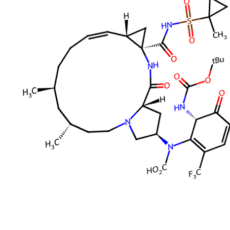 C[C@H]1CC/C=C\[C@@H]2C[C@@]2(C(=O)NS(=O)(=O)C2(C)CC2)NC(=O)[C@@H]2C[C@@H](N(C(=O)O)C3=C(C(F)(F)F)C=CC(=O)[C@H]3NC(=O)OC(C)(C)C)CN2CC[C@H](C)C1